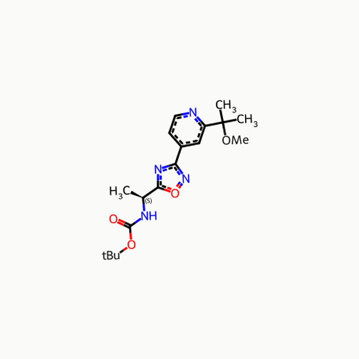 COC(C)(C)c1cc(-c2noc([C@H](C)NC(=O)OC(C)(C)C)n2)ccn1